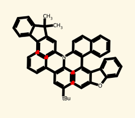 CC(C)(C)c1ccc(N(c2ccc3c(c2)C(C)(C)c2ccccc2-3)c2ccc3ccccc3c2-c2cccc3oc4ccccc4c23)c(-c2ccccc2)c1